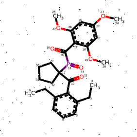 CCc1cccc(CC)c1C(=O)C1([P](=O)C(=O)c2c(OC)cc(OC)cc2OC)CCCC1